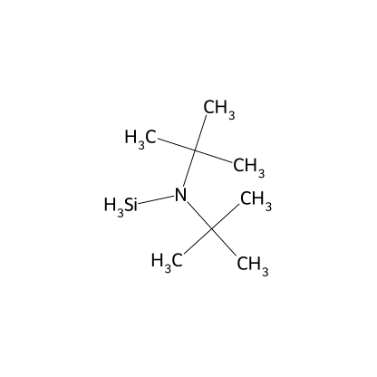 CC(C)(C)N([SiH3])C(C)(C)C